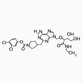 CCNC(=O)[C@@H](OCn1cnc2c(N)nc(CC3CCN(C(=O)Oc4ccc(Cl)c(Cl)c4)CC3)nc21)[C@H](O)CO